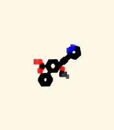 COC1(C#Cc2cccnn2)CC[C@@H](C(=O)O)[C@H](c2ccccc2)C1